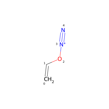 C=CO[N+]#N